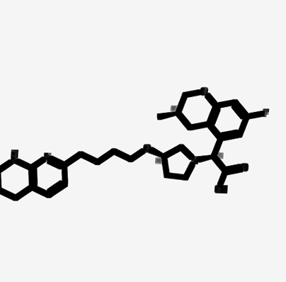 C[C@H]1COc2cc(F)cc([C@@H](C(=O)O)N3CC[C@@H](OCCCCc4ccc5c(n4)NCCC5)C3)c2C1